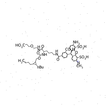 C=CCCC1C(CCCC)C1COC(=O)NC(CCCCNC(=O)c1ccc(-c2c3cc/c(=N\C)c(S(=O)(=O)O)c-3oc3c(S(=O)(=O)O)c(N)ccc23)c(C(=O)O)c1)C(=O)NCCOCCC(=O)O